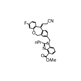 CCCc1nc2c(C(=O)OC)cccc2n1Cc1ccc2c(c1)COc1cc(F)ccc1C2=CCC#N